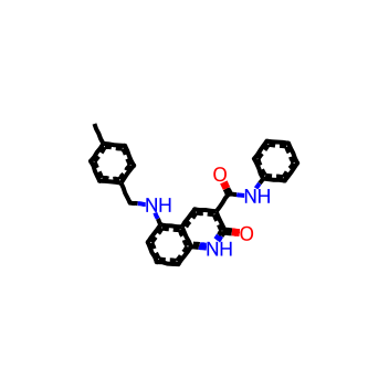 Cc1ccc(CNc2cccc3[nH]c(=O)c(C(=O)Nc4ccccc4)cc23)cc1